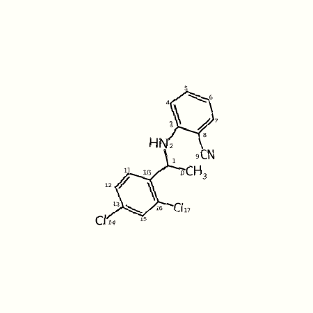 CC(Nc1ccccc1C#N)c1ccc(Cl)cc1Cl